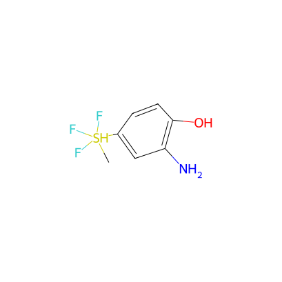 C[SH](F)(F)(F)c1ccc(O)c(N)c1